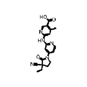 CCC1(C#N)CCN(c2ccnc(Nc3cc(C)c(C(=O)O)cn3)c2)C1=O